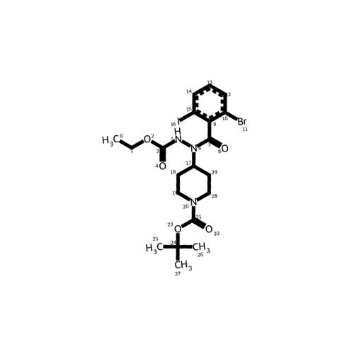 CCOC(=O)NN(C(=O)c1c(Br)cccc1I)C1CCN(C(=O)OC(C)(C)C)CC1